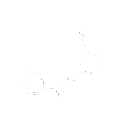 N#Cc1cccc(/C=N/C(=N)c2ccccc2)c1